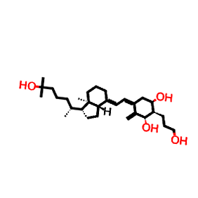 C=C1C(=CC=C2CCC[C@]3(C)[C@@H]([C@H](C)CCCC(C)(C)O)CC[C@@H]23)C[C@@H](O)[C@@H](CCCO)[C@@H]1O